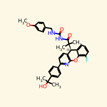 COc1ccc(CNC(=O)NC(=O)C(C)(C)[C@@H]2c3ccc(-c4ccc(C(C)(C)O)cc4)nc3Oc3c(F)cccc32)cc1